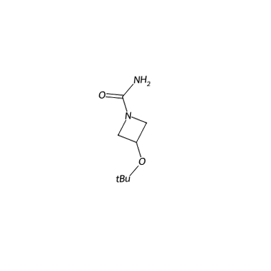 CC(C)(C)OC1CN(C(N)=O)C1